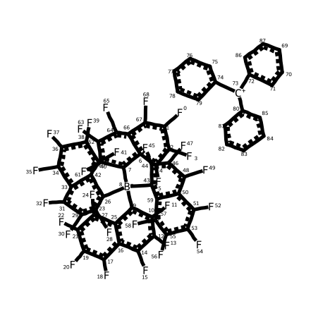 Fc1c(F)c(F)c2c([B-](c3c(F)c(F)c(F)c4c(F)c(F)c(F)c(F)c34)(c3c(F)c(F)c(F)c4c(F)c(F)c(F)c(F)c34)c3c(F)c(F)c(F)c4c(F)c(F)c(F)c(F)c34)c(F)c(F)c(F)c2c1F.c1ccc([C+](c2ccccc2)c2ccccc2)cc1